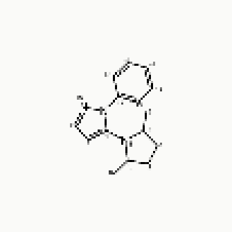 CC1CCC(C)N1c1ccnn1-c1ccccc1